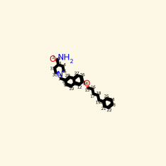 NC(=O)C1CCN(Cc2ccc3cc(OCCCCCc4ccccc4)ccc3c2)CC1